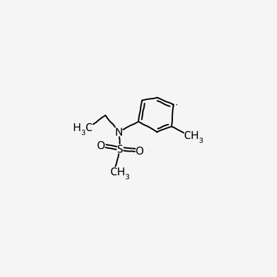 CCN(c1cc[c]c(C)c1)S(C)(=O)=O